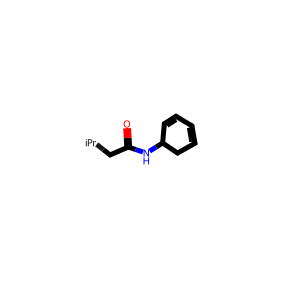 CC(C)CC(=O)N[C]1C=CC=CC1